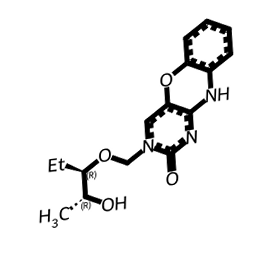 CC[C@@H](OCn1cc2c(nc1=O)Nc1ccccc1O2)[C@@H](C)O